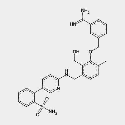 Cc1ccc(CNc2ccc(-c3ccccc3S(N)(=O)=O)cn2)c(CO)c1OCc1cccc(C(=N)N)c1